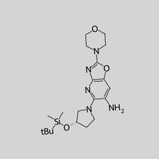 CC(C)(C)[Si](C)(C)O[C@H]1CCN(c2nc3nc(N4CCOCC4)oc3cc2N)C1